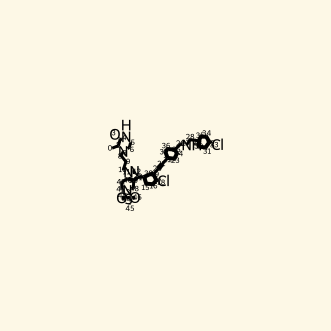 CC1C(=O)NCCN1CCCn1nc(-c2ccc(Cl)c(C#Cc3ccc(CNCc4ccc(Cl)cc4)cc3)c2)c2c1CCN(S(C)(=O)=O)C2